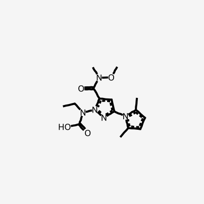 CCN(C(=O)O)n1nc(-n2c(C)ccc2C)cc1C(=O)N(C)OC